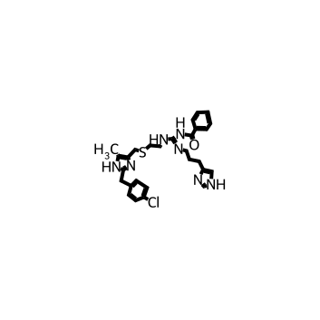 Cc1[nH]c(Cc2ccc(Cl)cc2)nc1CSCCNC(=NCCCc1c[nH]cn1)NC(=O)c1ccccc1